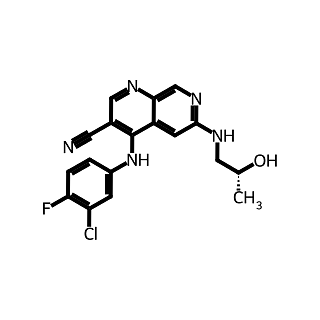 C[C@@H](O)CNc1cc2c(Nc3ccc(F)c(Cl)c3)c(C#N)cnc2cn1